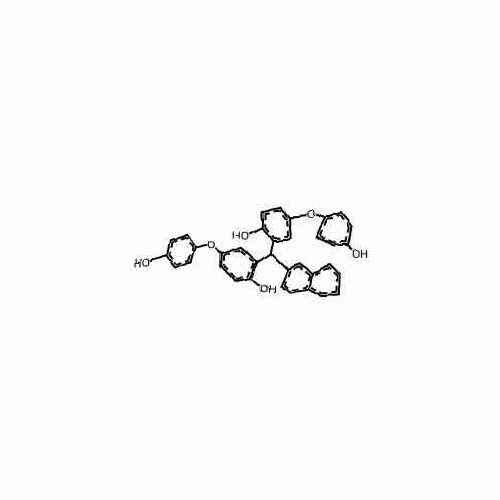 Oc1ccc(Oc2ccc(O)c(C(c3ccc4ccccc4c3)c3cc(Oc4ccc(O)cc4)ccc3O)c2)cc1